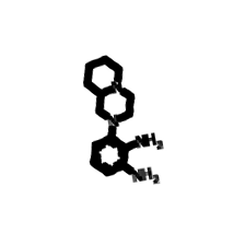 Nc1cccc(N2CCN3CCCCC3C2)c1N